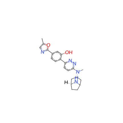 Cc1cnc(-c2ccc(-c3ccc(N(C)[C@@H]4CC5CC[C@@H](C4)N5)nn3)c(O)c2)o1